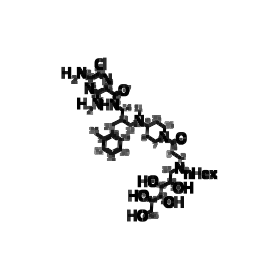 CCCCCCN(CCC(=O)N1CCC(N(C)CC(CNC(=O)c2nc(Cl)c(N)nc2N)Cc2ccccc2C)CC1)C[C@@H](O)[C@@H](O)[C@H](O)[C@H](O)CO